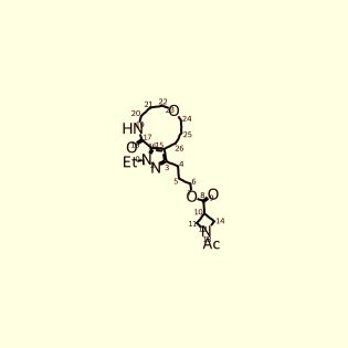 CCn1nc(CCCOC(=O)C2CN(C(C)=O)C2)c2c1C(=O)NCCCOCCC2